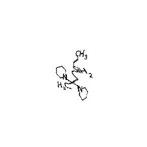 CC=C[SiH2]CCC(C)(N1CCCCC1)N1CCCCC1